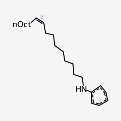 CCCCCCCC/C=C\CCCCCCCCNc1ccccc1